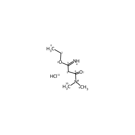 CCOC(=N)CC(=O)N(C)C.Cl